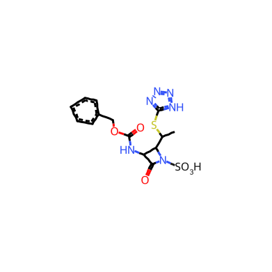 CC(Sc1nnn[nH]1)C1C(NC(=O)OCc2ccccc2)C(=O)N1S(=O)(=O)O